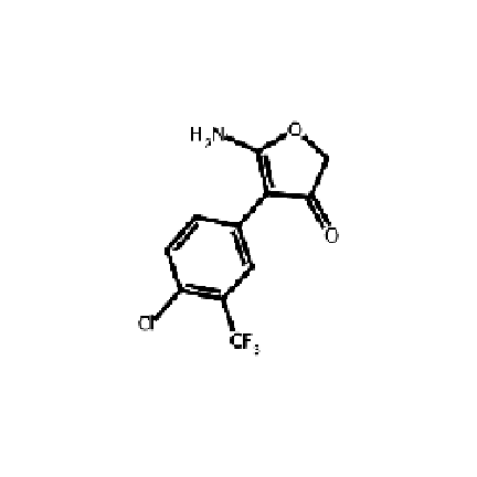 NC1=C(c2ccc(Cl)c(C(F)(F)F)c2)C(=O)CO1